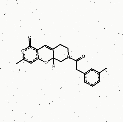 Cc1cccc(CC(=O)N2CCC3=Cc4c(cc(C)oc4=O)O[C@H]3C2)c1